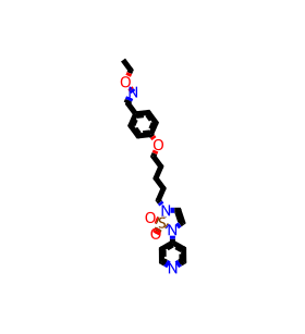 CCO/N=C/c1ccc(OCCCCCN2C=CN(c3ccncc3)S2(=O)=O)cc1